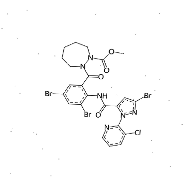 COC(=O)N1CCCCCN1C(=O)c1cc(Br)cc(Br)c1NC(=O)c1cc(Br)nn1-c1ncccc1Cl